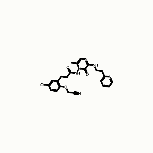 Cc1cnc(NCCc2ccccn2)c(=O)n1NC(=O)CCc1cc(Cl)ccc1OCC#N